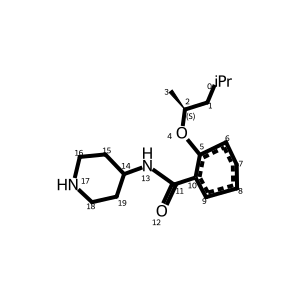 CC(C)C[C@H](C)Oc1ccccc1C(=O)NC1CCNCC1